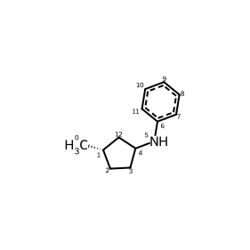 C[C@H]1CCC(Nc2ccccc2)C1